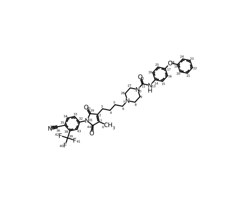 CC1=C(CCCCN2CCN(C(=O)Nc3ccc(Oc4ccccc4)cc3)CC2)C(=O)N(c2ccc(C#N)c(C(F)(F)F)c2)C1=O